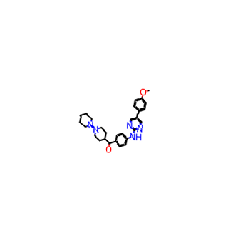 COc1ccc(-c2cnc(Nc3ccc(C(=O)C4CCN(N5CCCCC5)CC4)cc3)nc2)cc1